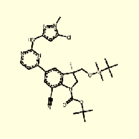 Cn1nc(Nc2nccc(-c3cc(C#N)c4c(c3)[C@@](C)(CO[Si](C)(C)C(C)(C)C)CN4C(=O)OC(C)(C)C)n2)cc1Cl